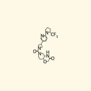 O=C1COC2CCN(C(=O)N3CC(c4ccc(N5CCCC5C(F)(F)F)nc4)C3)CC2N1